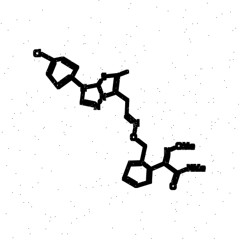 CNC(=O)C(=NOC)c1ccccc1CON=CCC1=C(C)SC2N1N=CN2c1ccc(Cl)cc1